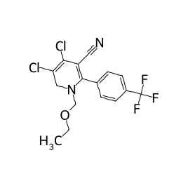 CCOCN1CC(Cl)=C(Cl)C(C#N)=C1c1ccc(C(F)(F)F)cc1